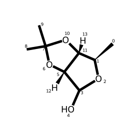 C[C@H]1OC(O)[C@@H]2OC(C)(C)O[C@H]12